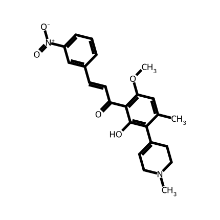 COc1cc(C)c(C2=CCN(C)CC2)c(O)c1C(=O)/C=C/c1cccc([N+](=O)[O-])c1